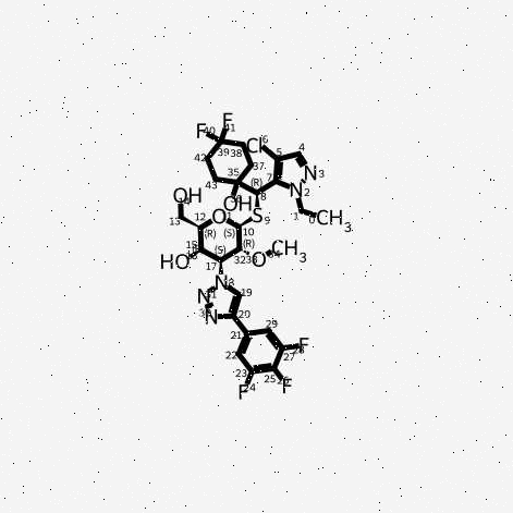 CCn1ncc(Cl)c1[C@@H](S[C@@H]1O[C@H](CO)[C@H](O)[C@H](n2cc(-c3cc(F)c(F)c(F)c3)nn2)[C@H]1OC)C1(O)CCC(F)(F)CC1